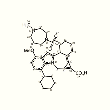 COc1ccc(C2CCCCC2)c2c1cc1n2CC2=C(C(=O)O)C2=C2C=CC[C@@H](S(=O)(=O)N3CCCN(C)CC3)C21